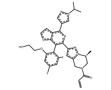 C=CC(=O)N1Cc2cc(-c3nc(-c4cnn(C(C)C)c4)c4ccsc4c3-c3c(F)cc(F)cc3OCCO)nn2[C@@H](C)C1